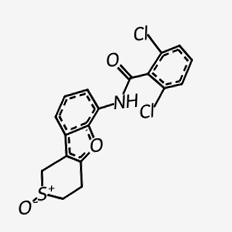 O=C(Nc1cccc2c3c(oc12)CC[S+]([O-])C3)c1c(Cl)cccc1Cl